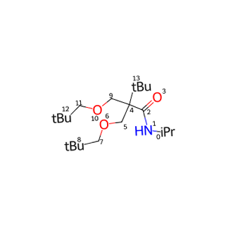 CC(C)NC(=O)C(COCC(C)(C)C)(COCC(C)(C)C)C(C)(C)C